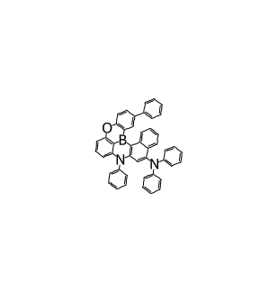 c1ccc(-c2ccc3c(c2)B2c4c(cccc4N(c4ccccc4)c4cc(N(c5ccccc5)c5ccccc5)c5ccccc5c42)O3)cc1